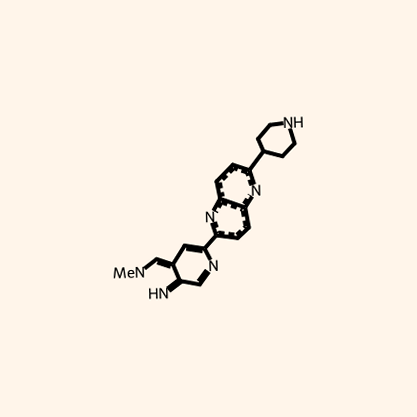 CN/C=C1/C=C(c2ccc3nc(C4CCNCC4)ccc3n2)N=CC1=N